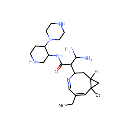 CCC12/C=C(CC#N)\C=N/C(C(C(=O)NC3CNCCC3N3CCNCC3)C(N)N)CC1(CC)C2